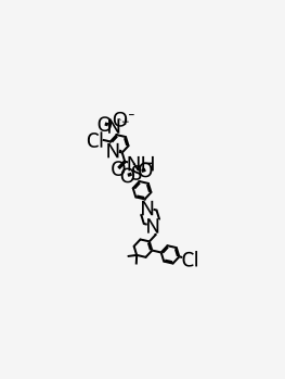 CC1(C)CCC(CN2CCN(c3ccc(S(=O)(=O)NC(=O)c4ccc([N+](=O)[O-])c(Cl)n4)cc3)CC2)=C(c2ccc(Cl)cc2)C1